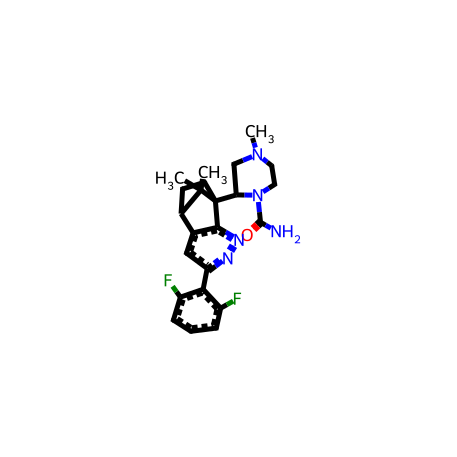 CN1CCN(C(N)=O)C(C23CCC(c4cc(-c5c(F)cccc5F)nnc42)C3(C)C)C1